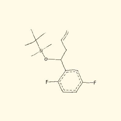 C=CCC(O[Si](C)(C)C(C)(C)C)c1cc(F)ccc1F